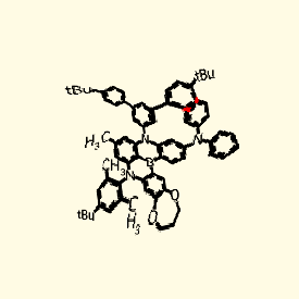 Cc1cc2c3c(c1)N(c1c(C)cc(C(C)(C)C)cc1C)c1cc4c(cc1B3c1ccc(N(c3ccccc3)c3ccccc3)cc1N2c1cc(-c2ccc(C(C)(C)C)cc2)cc(-c2ccc(C(C)(C)C)cc2)c1)OCCCO4